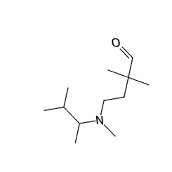 CC(C)C(C)N(C)CCC(C)(C)C=O